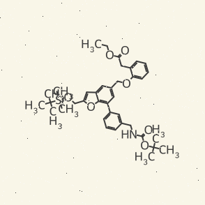 CCOC(=O)Cc1ccccc1OCc1cc(-c2cccc(CNC(=O)OC(C)(C)C)c2)c2oc(CO[Si](C)(C)C(C)(C)C)cc2c1